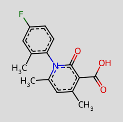 Cc1cc(F)ccc1-n1c(C)cc(C)c(C(=O)O)c1=O